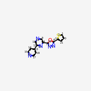 c1csc(-c2nnc(-c3cncc(-c4ccncc4)n3)o2)c1